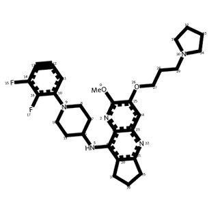 COc1nc2c(NC3CCN(c4cc#cc(F)c4F)CC3)c3c(nc2cc1OCCCN1CCCC1)CCC3